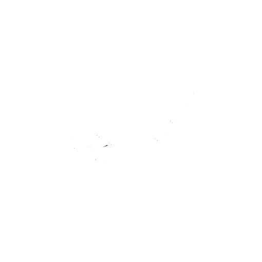 N#CN1[C@H]2CC[C@@H]1[C@H](NC(=O)C1CCN(c3cccc(C4CC4)n3)CC1)C2